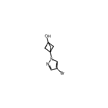 OC12CC(n3cc(Br)cn3)(C1)C2